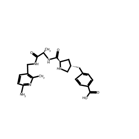 Cc1nc(N)ccc1CNC(=O)[C@H](C)NC(=O)[C@H]1C[C@H](Cc2ccc(C(=O)O)cc2)CN1